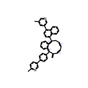 C=C1/C=C\C=C/C/C(c2ccc(-c3cncc(C)c3)c3ccccc23)=c2/cccc/c2=C/1c1ccc(-c2ccc(C)nc2)cc1